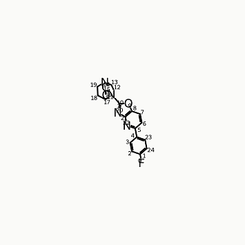 Fc1ccc(-c2ccc3oc(N4CCN5CCC4CC5)nc3n2)cc1